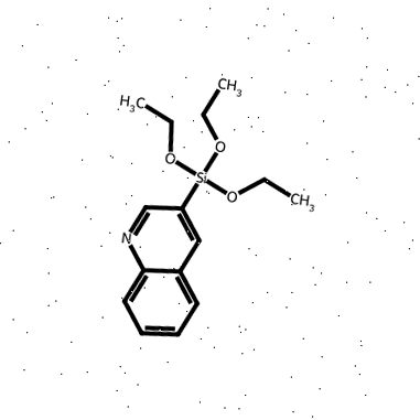 CCO[Si](OCC)(OCC)c1cnc2ccccc2c1